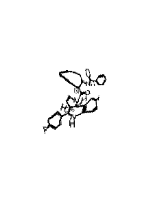 O=C(N[C@@H]1CCCC[C@@H]1C(=O)N1CC[C@@H]2[C@H](C3C=CC(F)=CC3)Nc3ccc(F)cc3[C@@H]21)c1ccccc1